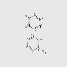 Ic1cccc(-c2nncnn2)c1